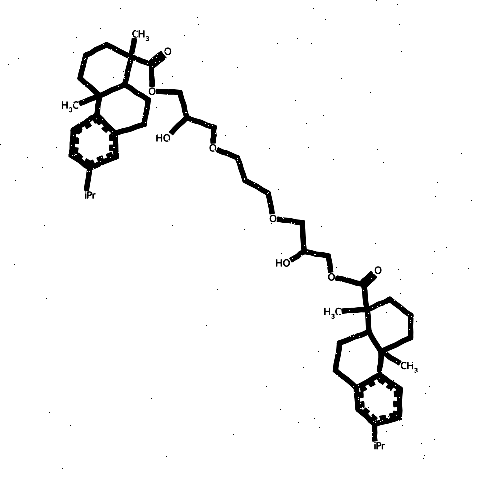 CC(C)c1ccc2c(c1)CCC1C(C)(C(=O)OCC(O)COCCCOCC(O)COC(=O)C3(C)CCCC4(C)c5ccc(C(C)C)cc5CCC34)CCCC21C